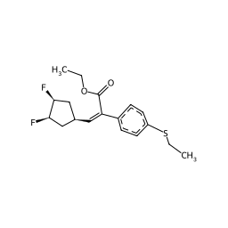 CCOC(=O)/C(=C\[C@H]1C[C@@H](F)[C@@H](F)C1)c1ccc(SCC)cc1